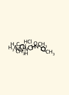 Cc1ccc([C@H](C)NC(=O)C2CCC(Nc3ncc(C)c(N(C)C)n3)CC2)cc1.Cl